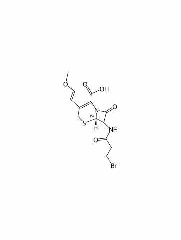 COC=CC1=C(C(=O)O)N2C(=O)C(NC(=O)CCBr)[C@@H]2SC1